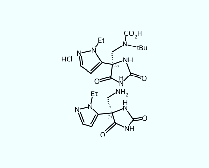 CCn1nccc1[C@@]1(CN(C(=O)O)C(C)(C)C)NC(=O)NC1=O.CCn1nccc1[C@@]1(CN)NC(=O)NC1=O.Cl